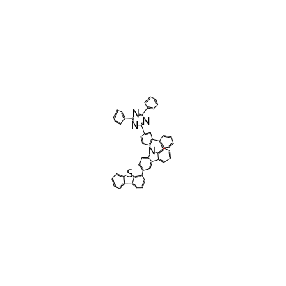 c1ccc(-c2nc(-c3ccccc3)nc(-c3ccc(-n4c5ccccc5c5cc(-c6cccc7c6sc6ccccc67)ccc54)c(-c4ccccc4)c3)n2)cc1